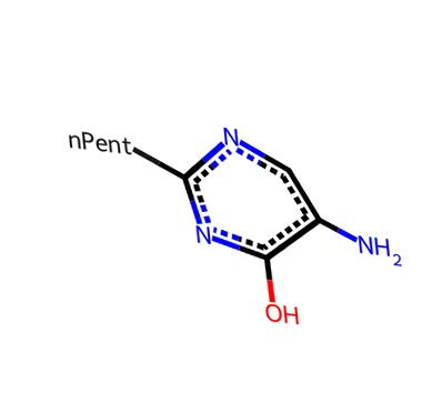 CCCCCc1ncc(N)c(O)n1